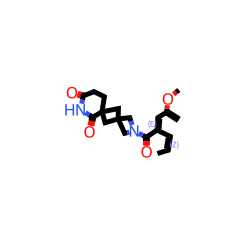 C=C(/C=C(\C=C/C)C(=O)N1CC2(C1)CC1(CCC(=O)NC1=O)C2)OC